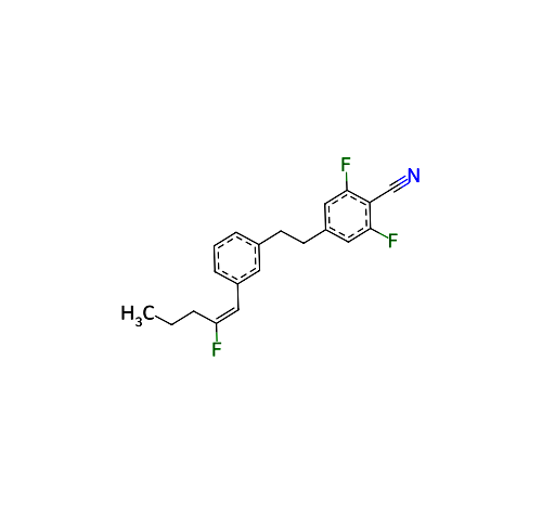 CCC/C(F)=C\c1cccc(CCc2cc(F)c(C#N)c(F)c2)c1